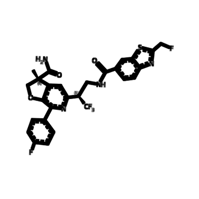 C[C@]1(C(N)=O)COc2c1cc([C@@H](CNC(=O)c1ccc3nc(CF)sc3c1)C(F)(F)F)nc2-c1ccc(F)cc1